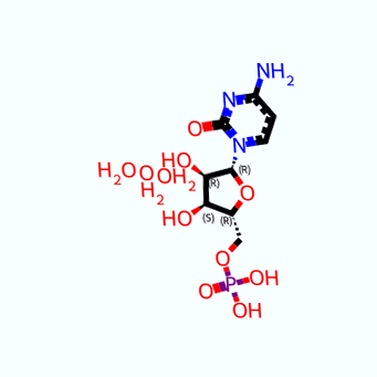 Nc1ccn([C@@H]2O[C@H](COP(=O)(O)O)[C@@H](O)[C@H]2O)c(=O)n1.O.O.O